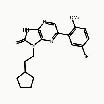 COc1ccc(C(C)C)cc1-c1cnc2[nH]c(=O)n(CCC3CCCC3)c2n1